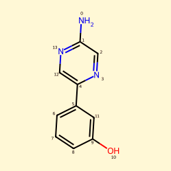 Nc1cnc(-c2cccc(O)c2)cn1